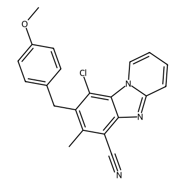 COc1ccc(Cc2c(C)c(C#N)c3nc4ccccn4c3c2Cl)cc1